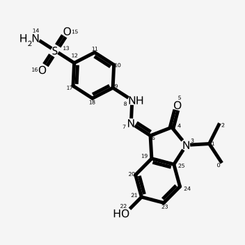 CC(C)N1C(=O)C(=NNc2ccc(S(N)(=O)=O)cc2)c2cc(O)ccc21